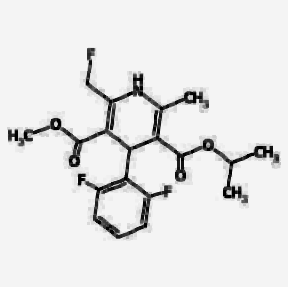 COC(=O)C1=C(CF)NC(C)=C(C(=O)OC(C)C)C1c1c(F)cccc1F